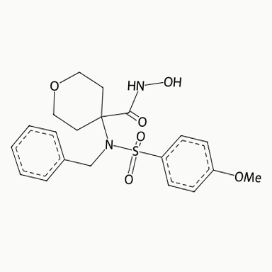 COc1ccc(S(=O)(=O)N(Cc2ccccc2)C2(C(=O)NO)CCOCC2)cc1